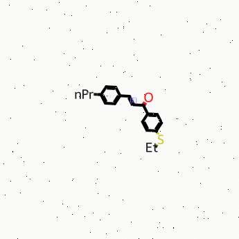 CCCc1ccc(/C=C/C(=O)c2ccc(SCC)cc2)cc1